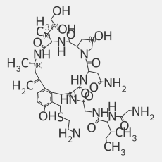 C=C1C[C@@H](C)NC(=O)C([C@@H](C)[C@@H](O)CO)NC(=O)C2C[C@@H](O)CN2C(=O)C(CC(N)=O)NC(=O)[C@@H](NC(=O)CNC(=O)C(NC(=O)CN)C(C)CC)Cc2c1ccc(O)c2CSCCN